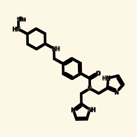 CC(C)(C)NC1CCC(NCc2ccc(C(=O)N(Cc3ncc[nH]3)Cc3ncc[nH]3)cc2)CC1